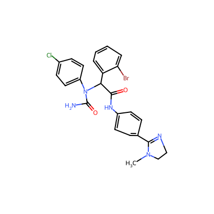 CN1CCN=C1c1ccc(NC(=O)C(c2ccccc2Br)N(C(N)=O)c2ccc(Cl)cc2)cc1